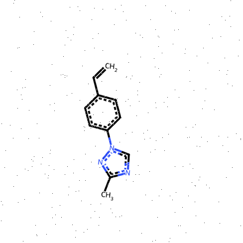 C=Cc1ccc(-n2cnc(C)n2)cc1